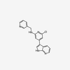 Clc1cc(-c2c[nH]c3ncccc23)cc(NCc2cccnc2)n1